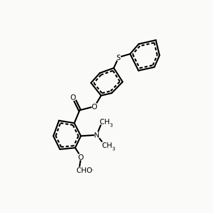 CN(C)c1c(O[C]=O)cccc1C(=O)Oc1ccc(Sc2ccccc2)cc1